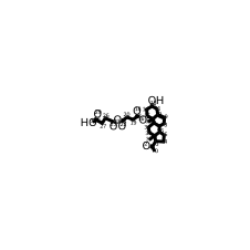 CC(=O)C1CCC2C3CC=C4CC(O)CC(OC(=O)CCC(=O)OC(=O)CCC(=O)O)C4(C)C3CCC12C